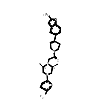 CCCc1cc2cc(C3=CCN(C(=O)CN4[C@H](C)CN(c5ccc(C(F)(F)F)cn5)C[C@@H]4C)CC3)ccc2s1